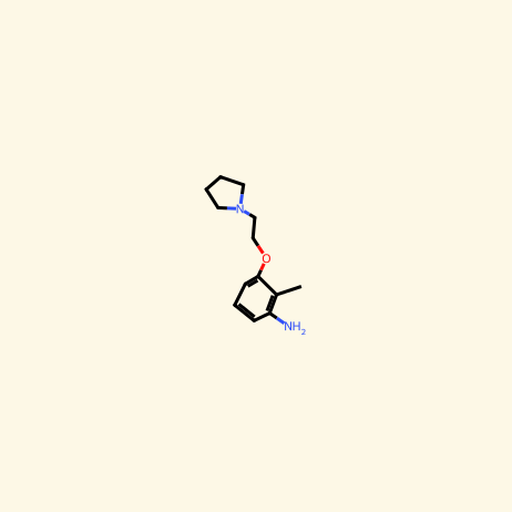 Cc1c(N)cccc1OCCN1CCCC1